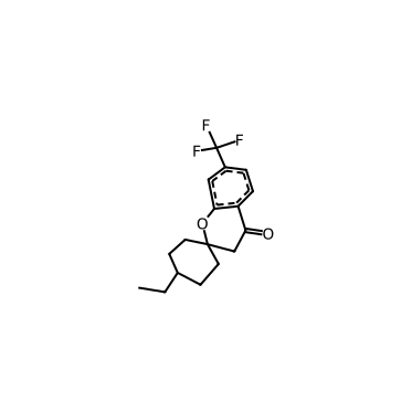 CCC1CCC2(CC1)CC(=O)c1ccc(C(F)(F)F)cc1O2